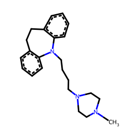 CN1CCN(CCCCN2c3ccccc3CCc3ccccc32)CC1